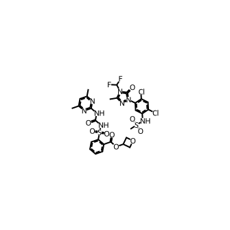 Cc1cc(C)nc(NC(=O)NS(=O)(=O)c2ccccc2C(=O)OC2COC2)n1.Cc1nn(-c2cc(NS(C)(=O)=O)c(Cl)cc2Cl)c(=O)n1C(F)F